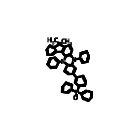 CC1(C)c2ccccc2-c2c1ccc1c2N(c2ccccc2)c2ccc(-c3cccc(P(=O)(c4ccccc4)c4ccccc4)c3)cc2N1c1ccccc1